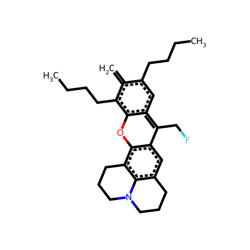 C=c1c(CCCC)cc2c(c1CCCC)Oc1c(cc3c4c1CCCN4CCC3)C=2CF